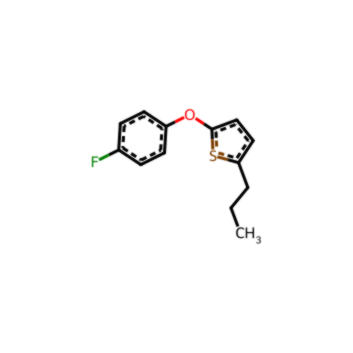 CCCc1ccc(Oc2ccc(F)cc2)s1